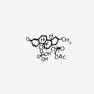 CC(=O)OCC(=O)[C@H]1[C@H](C)C[C@H]2[C@@H]3CCC4=CC(=O)C=C[C@]4(C)[C@@]3(F)[C@@H](OP(=O)(O)O)C[C@@]21C